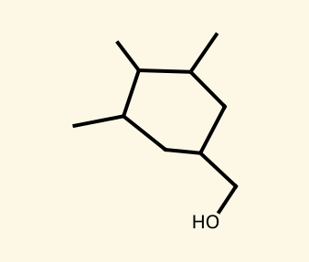 CC1CC(CO)CC(C)C1C